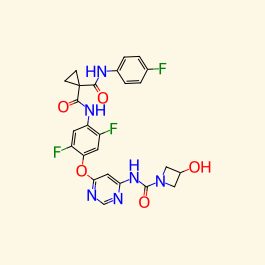 O=C(Nc1cc(Oc2cc(F)c(NC(=O)C3(C(=O)Nc4ccc(F)cc4)CC3)cc2F)ncn1)N1CC(O)C1